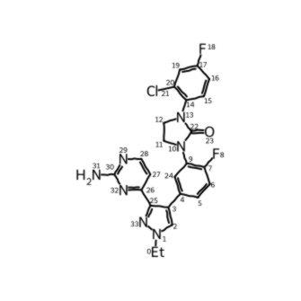 CCn1cc(-c2ccc(F)c(N3CCN(c4ccc(F)cc4Cl)C3=O)c2)c(-c2ccnc(N)n2)n1